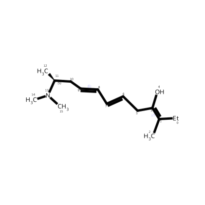 CC/C(C)=C(\O)CC=C/C=C/C[C@H](C)N(C)C